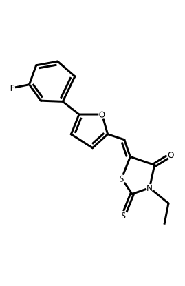 CCN1C(=O)C(=Cc2ccc(-c3cccc(F)c3)o2)SC1=S